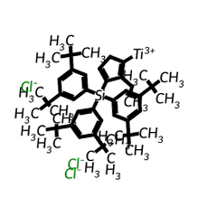 CCC1=[C]([Ti+3])CC=C1[Si](c1cc(C(C)(C)C)cc(C(C)(C)C)c1)(c1cc(C(C)(C)C)cc(C(C)(C)C)c1)c1cc(C(C)(C)C)cc(C(C)(C)C)c1.[Cl-].[Cl-].[Cl-]